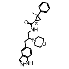 C[C@]1(c2ccccc2)C[C@H]1C(=O)NCC(Cc1ccc2[nH]ncc2c1)N1CCOCC1